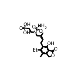 CCc1c(C)c2c(c(O)c1CC=C(C)CN(CCP(=O)(O)O)S(N)(=O)=O)C(=O)OC2